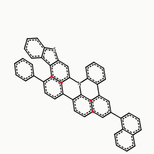 c1ccc(-c2ccc(-c3ccccc3N(c3ccc4c(c3)sc3ccccc34)c3ccccc3-c3cccc(-c4cccc5ccccc45)c3)cc2)cc1